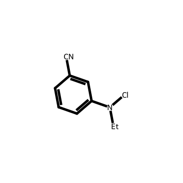 CCN(Cl)c1cccc(C#N)c1